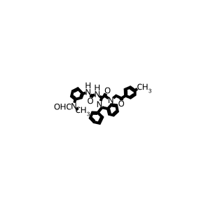 Cc1ccc(C(=O)CN2C(=O)C(NC(=O)Nc3cccc(N(C)C=O)c3)N=C(c3ccccc3)c3ccccc32)cc1